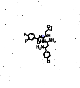 NC(CC(N)c1ccc(Cl)cc1)N/C(=N\C(=O)c1ccc(F)c(F)c1)NCC1CCO1